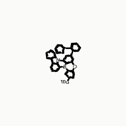 CC(C)(C)c1ccc2c(c1)B1c3c(cc(-c4ccccc4-c4ccccc4)cc3-n3c4ccccc4c4cccc1c43)O2